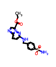 CCOC(=O)c1cnc2ccc(NCc3ccc(S(N)(=O)=O)cc3)nn12